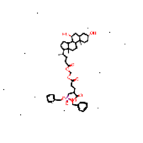 C[C@H](CCC(=O)OCOC(=O)CCC(CP(=O)(OCc1ccccc1)OCc1ccccc1)C(=O)O)C1CCC2C3C(CC[C@@]21C)[C@@]1(C)CC[C@@H](O)CC1C[C@@H]3O